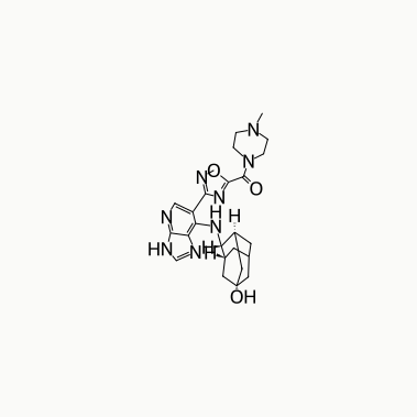 CN1CCN(C(=O)c2nc(-c3cnc4[nH]cnc4c3N[C@H]3[C@@H]4CC5C[C@H]3C[C@@](O)(C5)C4)no2)CC1